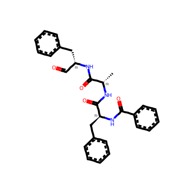 C[C@H](NC(=O)[C@H](Cc1ccccc1)NC(=O)c1ccccc1)C(=O)N[C@H](C=O)Cc1ccccc1